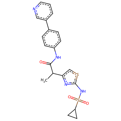 CC(C(=O)Nc1ccc(-c2cccnc2)cc1)c1csc(NS(=O)(=O)C2CC2)n1